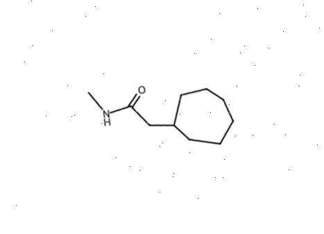 CNC(=O)CC1CCCCCC1